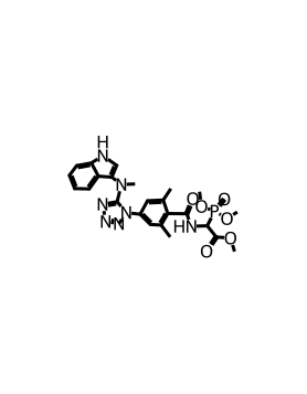 COC(=O)C(NC(=O)c1c(C)cc(-n2nnnc2N(C)c2c[nH]c3ccccc23)cc1C)P(=O)(OC)OC